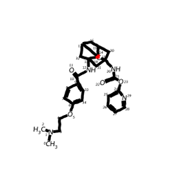 CN(C)CCOc1ccc(C(=O)NC23CC4CC(CC(NC(=O)Oc5ccccn5)(C4)C2)C3)cc1